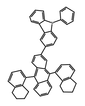 c1ccc(-n2c3ccccc3c3cc(-c4ccc5c(-c6cccc7c6CCCC7)c6ccccc6c(-c6cccc7c6CCCC7)c5c4)ccc32)cc1